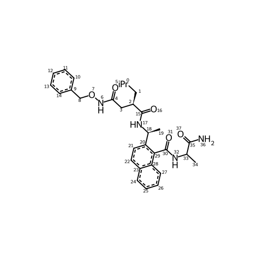 CC(C)C[C@H](CC(=O)NOCc1ccccc1)C(=O)N[C@@H](C)c1ccc2ccccc2c1C(=O)NC(C)C(N)=O